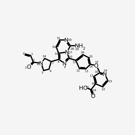 C=CC(=O)N1CCC(c2nc(-c3ccc(Oc4cc(C(=O)O)ccn4)cc3)n3c(N)nccc23)C1